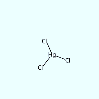 [Cl][Hg]([Cl])[Cl]